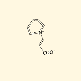 O=C([O-])C=C[n+]1ccccc1